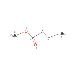 CCCCOC(=O)CCC(C)(C)C